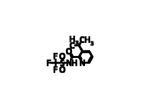 CC(C)c1cccnc1C(=O)NS(=O)(=O)C(F)(F)F